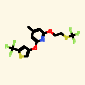 Cc1cc(OCCSC(F)(F)F)nc(Oc2csc(C(F)(F)F)c2)c1